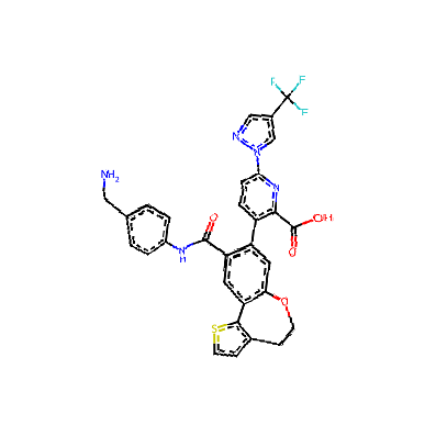 NCc1ccc(NC(=O)c2cc3c(cc2-c2ccc(-n4cc(C(F)(F)F)cn4)nc2C(=O)O)OCCc2ccsc2-3)cc1